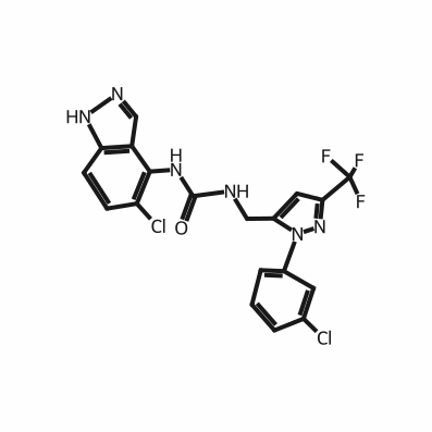 O=C(NCc1cc(C(F)(F)F)nn1-c1cccc(Cl)c1)Nc1c(Cl)ccc2[nH]ncc12